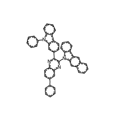 c1ccc(-c2ccc3nc(-c4ccc5c6ccccc6n(-c6ccccc6)c5c4)c(-n4c5ccccc5c5cc6ccccc6cc54)nc3c2)cc1